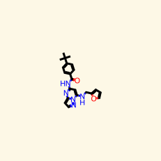 CC(C)(C)c1ccc(C(=O)Nc2cc(NCc3ccco3)n3nccc3n2)cc1